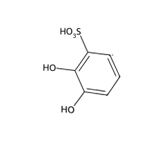 O=S(=O)(O)c1[c]ccc(O)c1O